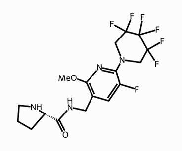 COc1nc(N2CC(F)(F)C(F)(F)C(F)(F)C2)c(F)cc1CNC(=O)[C@@H]1CCCN1